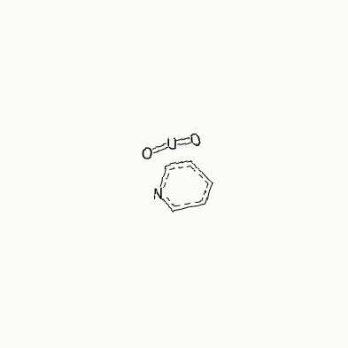 [O]=[U]=[O].c1ccncc1